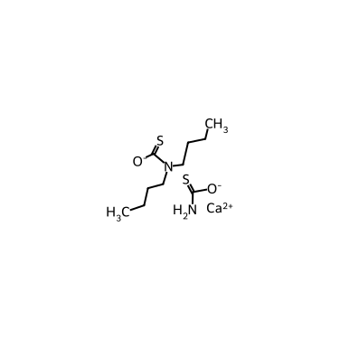 CCCCN(CCCC)C([O-])=S.NC([O-])=S.[Ca+2]